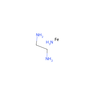 N.NCCN.[Fe]